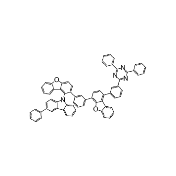 c1ccc(-c2ccc3c(c2)c2ccccc2n3-c2c(-c3cccc(-c4ccc(-c5cccc(-c6nc(-c7ccccc7)nc(-c7ccccc7)n6)c5)c5c4oc4ccccc45)c3)ccc3oc4ccccc4c23)cc1